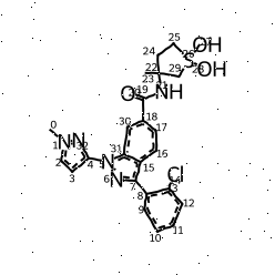 Cn1ccc(-n2nc(-c3ccccc3Cl)c3ccc(C(=O)NC4(C)CCS(O)(O)C4)cc32)n1